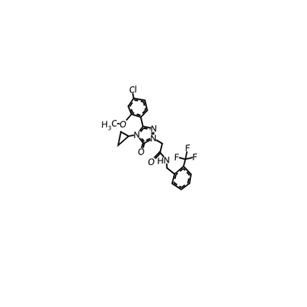 COc1cc(Cl)ccc1-c1nn(CC(=O)NCc2ccccc2C(F)(F)F)c(=O)n1C1CC1